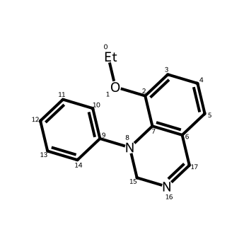 CCOc1cccc2c1N(c1ccccc1)CN=C2